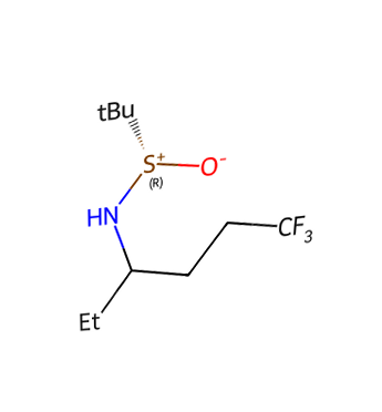 CCC(CCC(F)(F)F)N[S@@+]([O-])C(C)(C)C